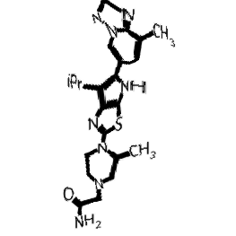 Cc1cc(-c2[nH]c3sc(N4CCN(CC(N)=O)CC4C)nc3c2C(C)C)cn2ncnc12